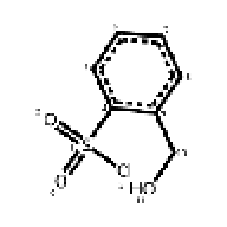 O=S(=O)(Cl)c1ccccc1CO